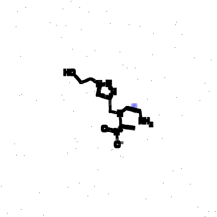 C=C(N(/C=C\N)Cc1cn(CCO)nn1)[N+](=O)[O-]